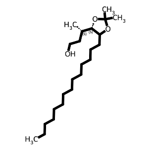 CCCCCCCCCCCCCCC1OC(C)(C)O[C@H]1[C@@H](C)CCO